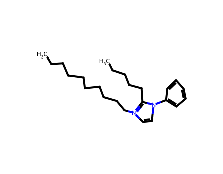 CCCCCCCCCC[n+]1ccn(-c2ccccc2)c1CCCCC